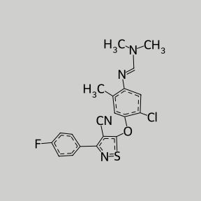 Cc1cc(Oc2snc(-c3ccc(F)cc3)c2C#N)c(Cl)cc1N=CN(C)C